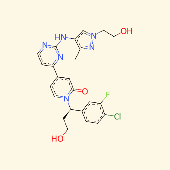 Cc1nn(CCO)cc1Nc1nccc(-c2ccn([C@H](CCO)c3ccc(Cl)c(F)c3)c(=O)c2)n1